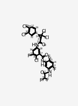 O=C(Nc1cc(NC(=O)C(F)F)c(F)cc1F)c1cc(NC(=O)C2[C@H](c3ccc(Cl)c(Cl)c3)C2(Cl)Cl)cc(F)c1Cl